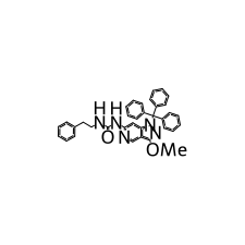 COc1nn(C(c2ccccc2)(c2ccccc2)c2ccccc2)c2cc(NC(=O)NCCc3ccccc3)ncc12